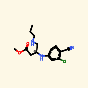 CCCNC[C@H](CC(=O)OC)Nc1ccc(C#N)c(Cl)c1